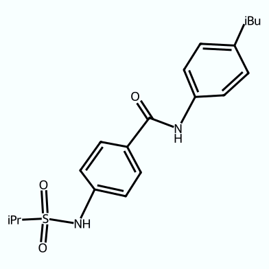 CCC(C)c1ccc(NC(=O)c2ccc(NS(=O)(=O)C(C)C)cc2)cc1